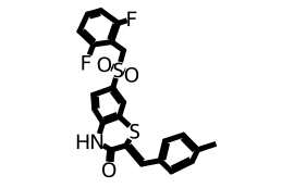 Cc1ccc(C=C2Sc3cc(S(=O)(=O)Cc4c(F)cccc4F)ccc3NC2=O)cc1